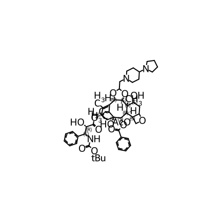 CC(=O)O[C@@]12COC1C[C@H](O)[C@@]1(C)[C@@H]3OC(CN4CCC(N5CCCC5)CC4)O[C@@H]3C3=C(C)[C@@H](OC(=O)[C@H](O)[C@@H](NC(=O)OC(C)(C)C)c4ccccc4)C[C@@](O)([C@@H](OC(=O)c4ccccc4)[C@@H]12)C3(C)C